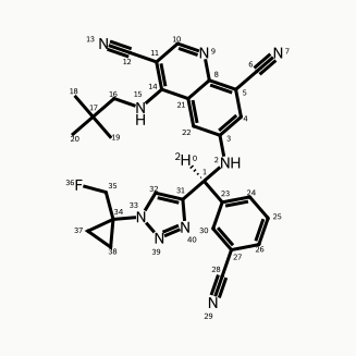 [2H][C@](Nc1cc(C#N)c2ncc(C#N)c(NCC(C)(C)C)c2c1)(c1cccc(C#N)c1)c1cn(C2(CF)CC2)nn1